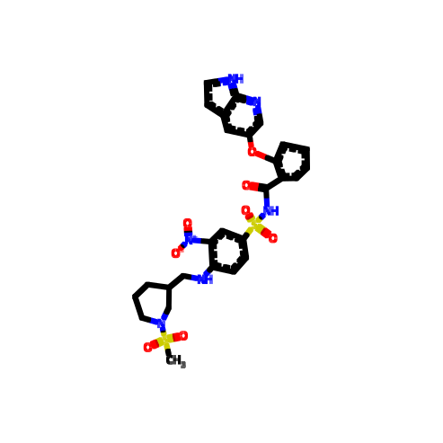 CS(=O)(=O)N1CCCC(CNc2ccc(S(=O)(=O)NC(=O)c3ccccc3Oc3cnc4[nH]ccc4c3)cc2[N+](=O)[O-])C1